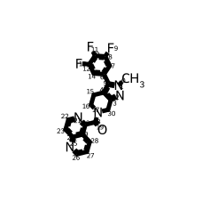 Cn1nc2c(c1-c1cc(F)c(F)c(F)c1)CCN(C(=O)c1nccc3ncccc13)C2